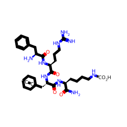 N=C(N)NCCC[C@H](NC(=O)[C@@H](N)Cc1ccccc1)C(=O)N[C@@H](CC12CCC(CC1)CC2)C(=O)N[C@@H](CCCCNC(=O)O)C(N)=O